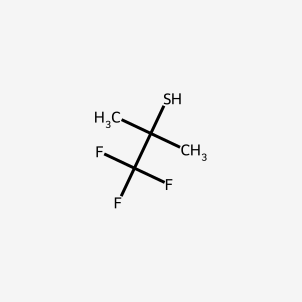 CC(C)(S)C(F)(F)F